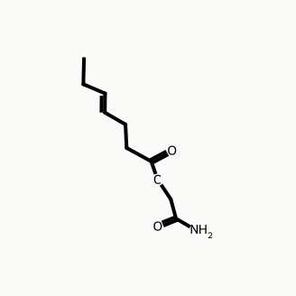 CC/C=C/CCC(=O)CCC(N)=O